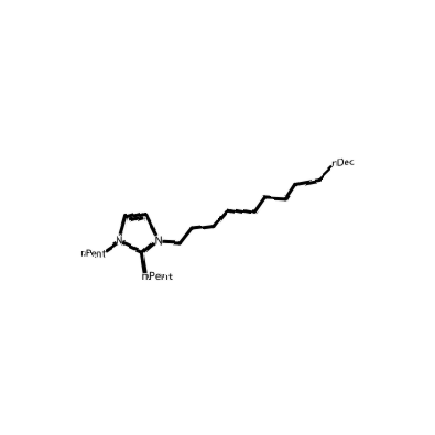 CCCCCCCCCCCCCCCCCCCN1C=CN(CCCCC)C1CCCCC